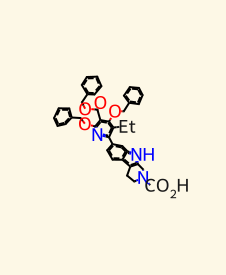 CCc1c(-c2ccc3c4c([nH]c3c2)CN(C(=O)O)CC4)nc(OCc2ccccc2)c(C(=O)OCc2ccccc2)c1OCc1ccccc1